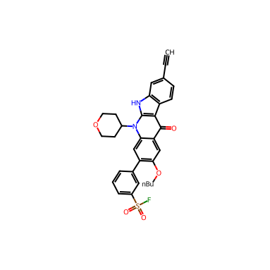 C#Cc1ccc2c(c1)[nH]c1c2c(=O)c2cc(OCCCC)c(-c3cccc(S(=O)(=O)F)c3)cc2n1C1CCOCC1